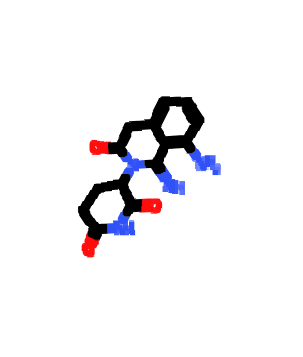 N=C1c2c(N)cccc2CC(=O)N1C1CCC(=O)NC1=O